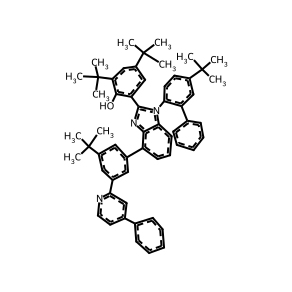 CC(C)(C)c1cc(-c2cc(-c3ccccc3)ccn2)cc(-c2cccc3c2nc(-c2cc(C(C)(C)C)cc(C(C)(C)C)c2O)n3-c2ccc(C(C)(C)C)cc2-c2ccccc2)c1